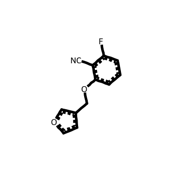 N#Cc1c(F)cccc1OCc1ccoc1